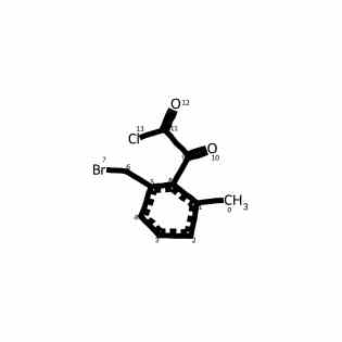 Cc1cccc(CBr)c1C(=O)C(=O)Cl